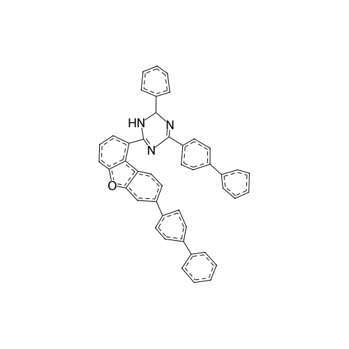 c1ccc(-c2ccc(C3=NC(c4ccccc4)NC(c4cccc5oc6cc(-c7ccc(-c8ccccc8)cc7)ccc6c45)=N3)cc2)cc1